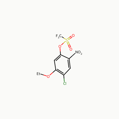 CCOc1cc(OS(=O)(=O)C(F)(F)F)c([N+](=O)[O-])cc1Cl